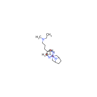 CCN(C)CCCc1cnc(N2C3CCC2CN(C(C)C)C3)nc1